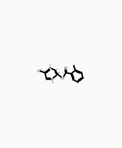 Cc1ccccc1C(=O)Oc1cnc(Cl)cn1